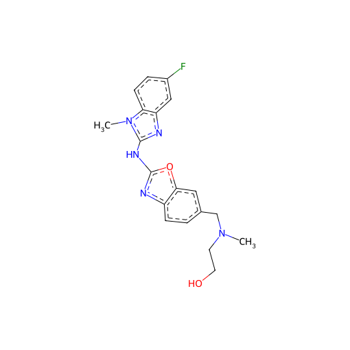 CN(CCO)Cc1ccc2nc(Nc3nc4cc(F)ccc4n3C)oc2c1